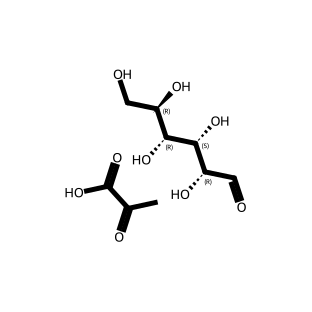 CC(=O)C(=O)O.O=C[C@H](O)[C@@H](O)[C@H](O)[C@H](O)CO